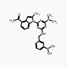 Cc1cc2c(C(N)=O)cccc2n1-c1nc(NCc2cccc(B(O)O)c2)nc(N(C)C)n1